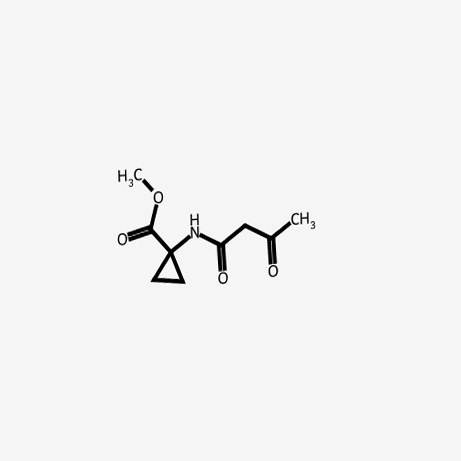 COC(=O)C1(NC(=O)CC(C)=O)CC1